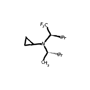 CC(C)[C@H](C)N(C1CC1)[C@H](C(C)C)C(F)(F)F